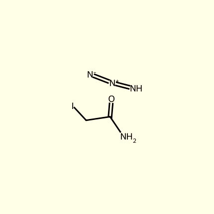 NC(=O)CI.[N-]=[N+]=N